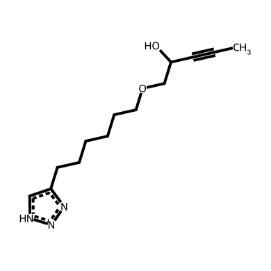 CC#CC(O)COCCCCCCc1c[nH]nn1